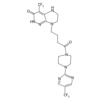 O=C(CCCN1CCNc2c1n[nH]c(=O)c2C(F)(F)F)N1CCN(c2ncc(C(F)(F)F)cn2)CC1